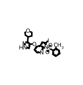 Cc1ccccc1S(=O)(=O)n1c(I)cc2c(Oc3c[nH]nc3C3CCOCC3)ccnc21